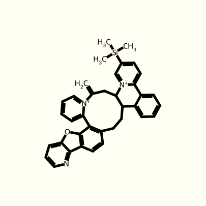 C=C1CC2C(CCc3ccc4c(oc5cccnc54)c3-c3cccc[n+]31)c1ccccc1-c1ccc([Si](C)(C)C)c[n+]12